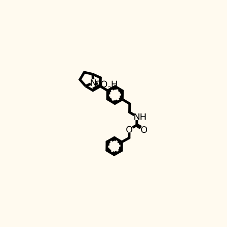 O=C(NCCc1ccc(C2=CC3CCC(C2)N3C(=O)O)cc1)OCc1ccccc1